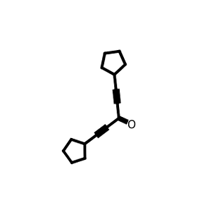 O=C(C#CC1CCCC1)C#CC1CCCC1